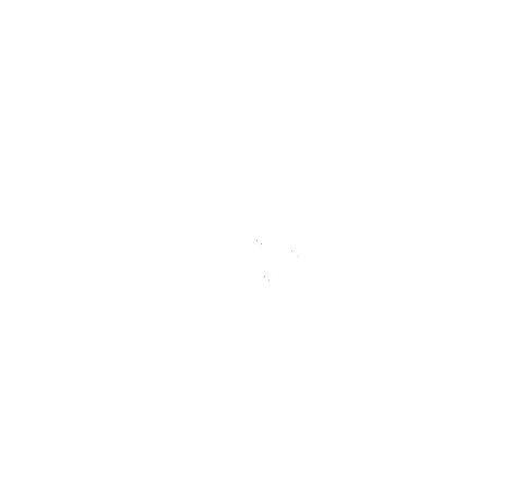 c1ccc2c(c1)sc1cc(-c3nc(-c4ccc5c(c4)sc4ccccc45)nc(-c4ccc5c6ccccc6c6ccccc6c5c4)n3)ccc12